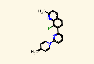 C=C1C=CN(c2cccc(-c3ccc4ccc(C)nc4c3F)n2)C=C1